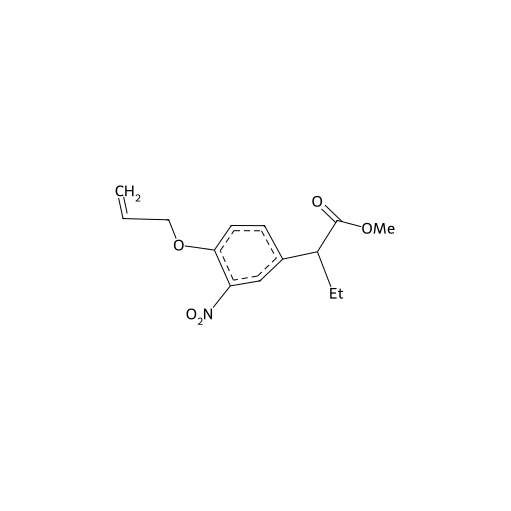 C=CCOc1ccc(C(CC)C(=O)OC)cc1[N+](=O)[O-]